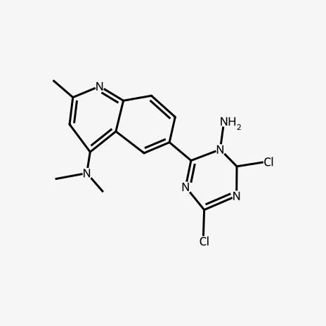 Cc1cc(N(C)C)c2cc(C3=NC(Cl)=NC(Cl)N3N)ccc2n1